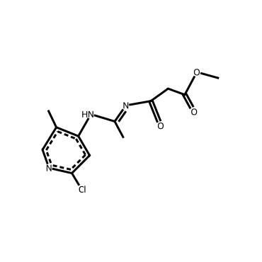 COC(=O)CC(=O)/N=C(\C)Nc1cc(Cl)ncc1C